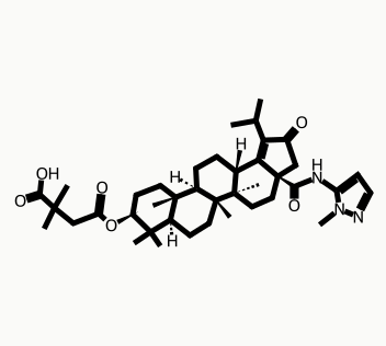 CC(C)C1=C2[C@H]3CC[C@@H]4[C@@]5(C)CC[C@H](OC(=O)CC(C)(C)C(=O)O)C(C)(C)[C@@H]5CC[C@@]4(C)[C@]3(C)CC[C@@]2(C(=O)Nc2ccnn2C)CC1=O